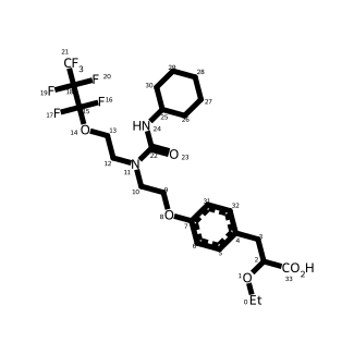 CCOC(Cc1ccc(OCCN(CCOC(F)(F)C(F)(F)C(F)(F)F)C(=O)NC2CCCCC2)cc1)C(=O)O